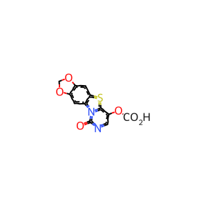 O=C(O)Oc1cnc(=O)n2c1sc1cc3c(cc12)OCO3